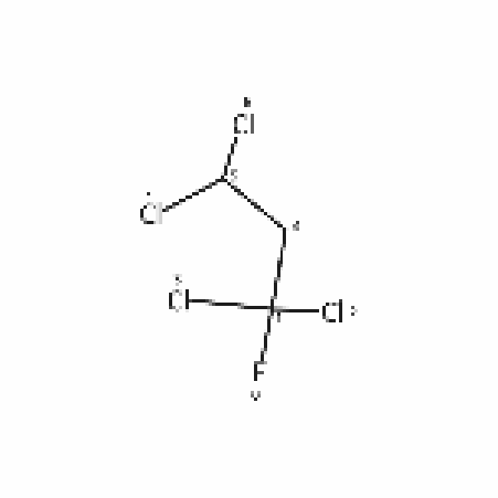 FC(Cl)(Cl)CC(Cl)Cl